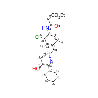 CCOC(=O)CC(=O)Nc1cc(C)c(Cc2ccc(O)c(C3CCCCC3)n2)c(C)c1Cl